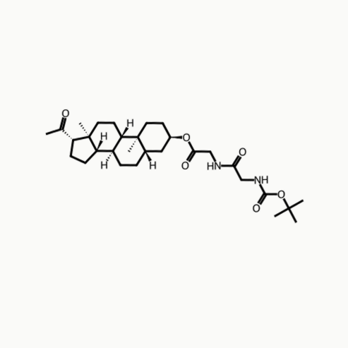 CC(=O)[C@H]1CC[C@H]2[C@@H]3CC[C@H]4C[C@H](OC(=O)CNC(=O)CNC(=O)OC(C)(C)C)CC[C@]4(C)[C@H]3CC[C@]12C